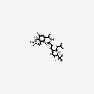 CC(C)Cc1nc(C(F)(F)F)ccc1C=CC(=O)NC(C)c1cc(F)c(NS(C)(=O)=O)c(F)c1